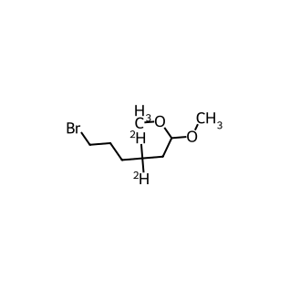 [2H]C([2H])(CCCBr)CC(OC)OC